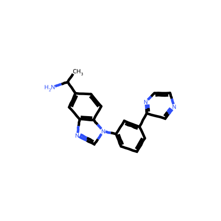 CC(N)c1ccc2c(c1)ncn2-c1cccc(-c2cnccn2)c1